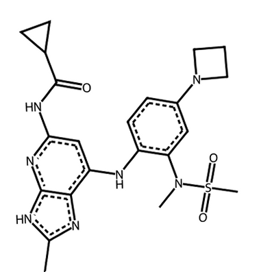 Cc1nc2c(Nc3ccc(N4CCC4)cc3N(C)S(C)(=O)=O)cc(NC(=O)C3CC3)nc2[nH]1